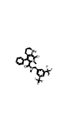 CN(Cc1cc(C(F)(F)F)cc(C(F)(F)F)c1)C(=O)c1c(-c2ccccc2)c2c(c(=O)n1C)NCCC2